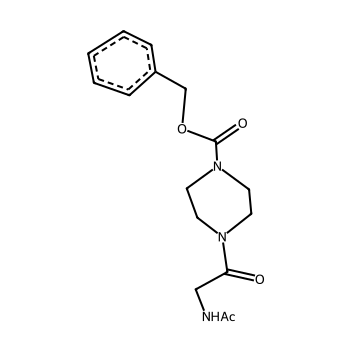 CC(=O)NCC(=O)N1CCN(C(=O)OCc2ccccc2)CC1